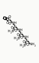 BCC(=O)N(CCNC(=O)CN(CCNC(=O)CN(CCNC(=O)CN1C(=O)C2C3C=CC(C3)C2C1=O)C(=O)CB)C(=O)CB)CC(N)=O